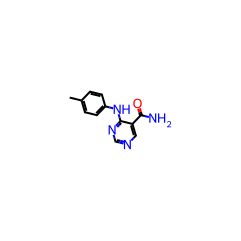 Cc1ccc(Nc2ncncc2C(N)=O)cc1